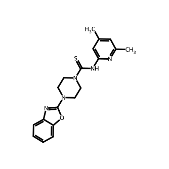 Cc1cc(C)nc(NC(=S)N2CCN(c3nc4ccccc4o3)CC2)c1